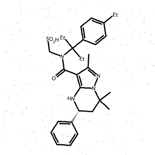 CCc1ccc(C(CC)(CC)N(CS(=O)(=O)O)C(=O)c2c(C)nn3c2N[C@@H](c2ccccc2)CC3(C)C)cc1